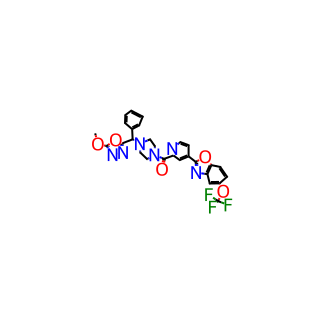 COc1nnc([C@H](c2ccccc2)N2CCN(C(=O)c3cc(-c4nc5cc(OC(F)(F)F)ccc5o4)ccn3)CC2)o1